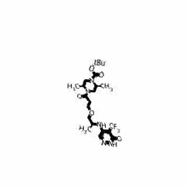 C[C@@H](COCCC(=O)N1C[C@H](C)N(C(=O)OC(C)(C)C)C[C@@H]1C)Nc1cn[nH]c(=O)c1C(F)(F)F